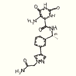 C[C@@H](NC(=O)c1[nH]c(=O)[nH]c(=O)c1N)c1cccc(-c2cnn(CC(N)=O)c2)c1